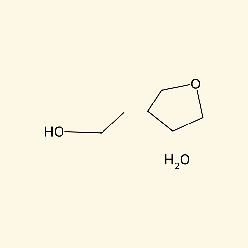 C1CCOC1.CCO.O